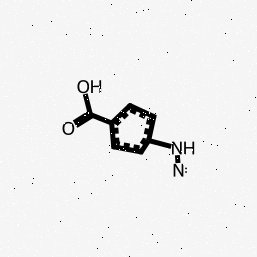 [N]Nc1ccc(C(=O)O)cc1